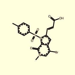 Cc1ccc(S(=O)(=O)n2c(/C=C/C(=O)O)cc3c(Br)cn(C)c(=O)c32)cc1